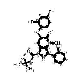 Cn1c(=O)c(Oc2ccc(F)cc2F)cc2c1c(-c1ccccc1Cl)nn2C(=O)OC(C)(C)C